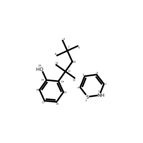 C1=CNSC=C1.CC(C)(C)CC(C)(C)c1ccccc1O